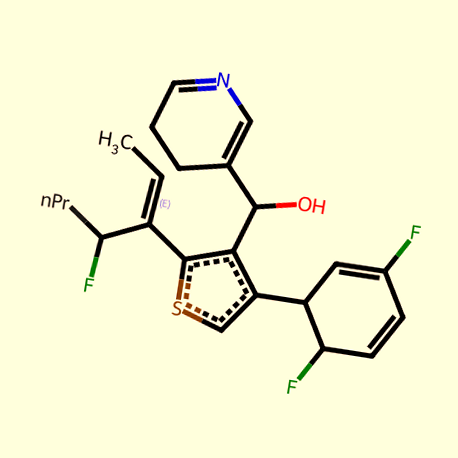 C/C=C(/c1scc(C2C=C(F)C=CC2F)c1C(O)C1=CN=CCC1)C(F)CCC